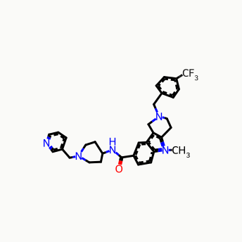 Cn1c2c(c3cc(C(=O)NC4CCN(Cc5cccnc5)CC4)ccc31)CN(Cc1ccc(C(F)(F)F)cc1)CC2